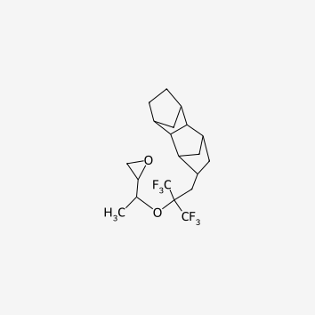 CC(OC(CC1CC2CC1C1C3CCC(C3)C21)(C(F)(F)F)C(F)(F)F)C1CO1